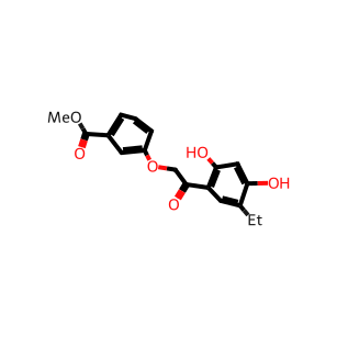 CCc1cc(C(=O)COc2cccc(C(=O)OC)c2)c(O)cc1O